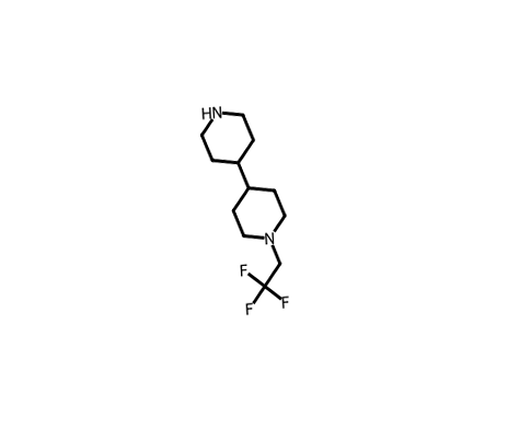 FC(F)(F)CN1CCC(C2CCNCC2)CC1